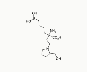 NC(CCCCB(O)O)(CCN1CCCC1CO)C(=O)O